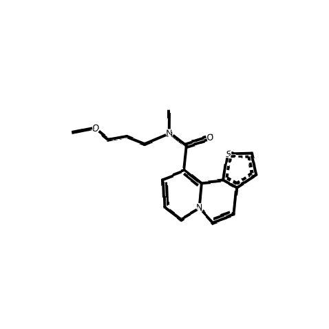 COCCCN(C)C(=O)C1=C2c3sccc3C=CN2CC=C1